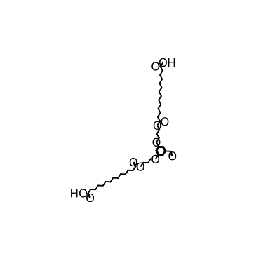 O=Cc1cc(OCCCOC(=O)CCCCCCCCCCCCC(=O)O)cc(OCCCOC(=O)CCCCCCCCCCCCC(=O)O)c1